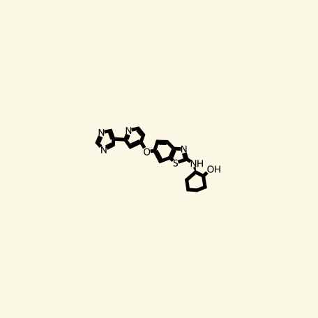 OC1CCCC[C@H]1Nc1nc2ccc(Oc3ccnc(-c4cncnc4)c3)cc2s1